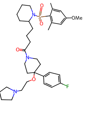 COc1cc(C)c(S(=O)(=O)N2CCCCC2CCCC(=O)N2CCC(OCCN3CCCC3)(c3ccc(F)cc3)CC2)c(C)c1